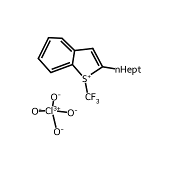 CCCCCCCc1cc2ccccc2[s+]1C(F)(F)F.[O-][Cl+3]([O-])([O-])[O-]